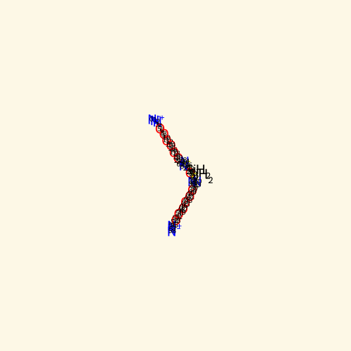 [N-]=[N+]=NCCOCCOCCOCCOCCOCCOCc1cnc(SC[SiH2]O[SiH2]CSc2ncc(COCCOCCOCCOCCOCCOCCN=[N+]=[N-])cn2)nc1